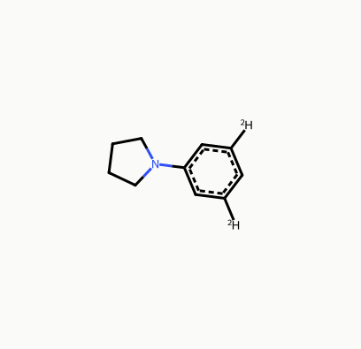 [2H]c1cc([2H])cc(N2CCCC2)c1